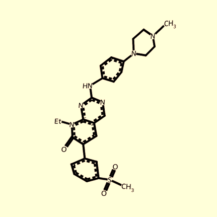 CCn1c(=O)c(-c2cccc(S(C)(=O)=O)c2)cc2cnc(Nc3ccc(N4CCN(C)CC4)cc3)nc21